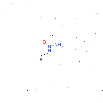 C=CC[NH+](N)[O-]